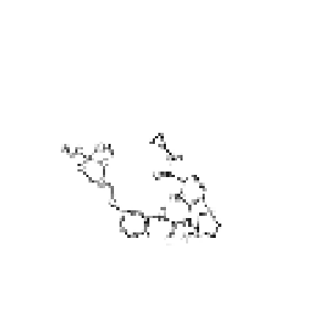 CC1(C)OC[C@H](COc2ccnc(NC(=O)N3C4=C(C=CC(C(=O)NC5CC5)N4)N4CC[C@H]3C4)c2)O1